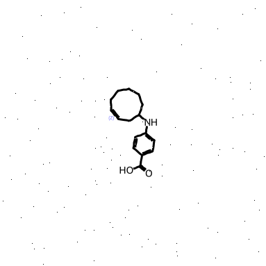 O=C(O)c1ccc(NC2C/C=C\CCCCC2)cc1